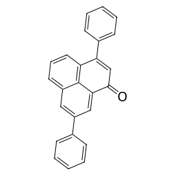 O=C1C=C(c2ccccc2)c2cccc3cc(-c4ccccc4)cc1c23